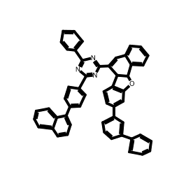 C1=C(c2nc(-c3ccccc3)nc(-c3ccc(-c4cccc5ccccc45)cc3)n2)C2c3ccc(-c4cccc(-c5ccccc5)c4)cc3OC2c2ccccc21